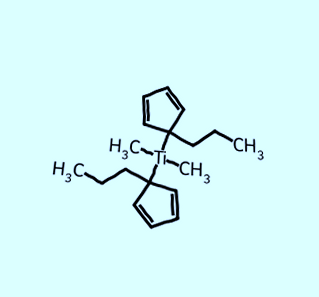 CCC[C]1([Ti]([CH3])([CH3])[C]2(CCC)C=CC=C2)C=CC=C1